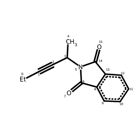 CCC#CC(C)N1C(=O)c2ccccc2C1=O